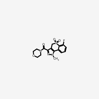 Cn1nc(C(=O)N2CCOCC2)c2c1-c1cccc(F)c1S(=O)(=O)C2